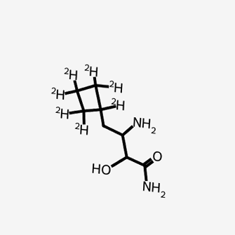 [2H]C1([2H])C([2H])([2H])C([2H])(CC(N)C(O)C(N)=O)C1([2H])[2H]